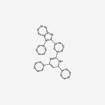 C1=C(c2ccccc2)N=C(c2cccc(-c3nc4ccccc4n3-c3ccccc3)c2)NC1c1ccccc1